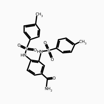 Cc1ccc(S(=O)(=O)Nc2ccc(C(N)=O)cc2NS(=O)(=O)c2ccc(C)cc2)cc1